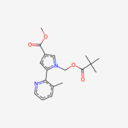 COC(=O)c1cc(-c2ncccc2C)n(COC(=O)C(C)(C)C)c1